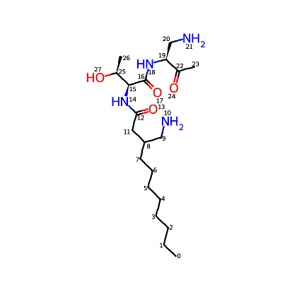 CCCCCCCCC(CN)CC(=O)N[C@H](C(=O)N[C@@H](CN)C(C)=O)[C@H](C)O